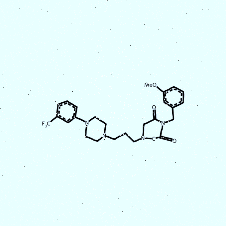 COc1cccc(CN2C(=O)CN(CCCN3CCN(c4cccc(C(F)(F)F)c4)CC3)CC2=O)c1